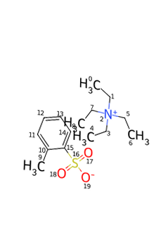 CC[N+](CC)(CC)CC.Cc1ccccc1S(=O)(=O)[O-]